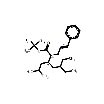 CCC(CC)C[C@@H](CC(C)C)[C@H](C/C=C/c1ccccc1)C(=O)OC(C)(C)C